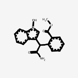 COC(=O)c1ccccc1C(C(N)=O)c1cn(O)c2ccccc12